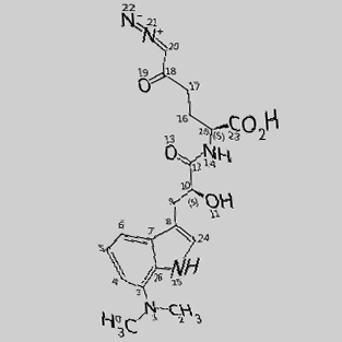 CN(C)c1cccc2c(C[C@H](O)C(=O)N[C@@H](CCC(=O)C=[N+]=[N-])C(=O)O)c[nH]c12